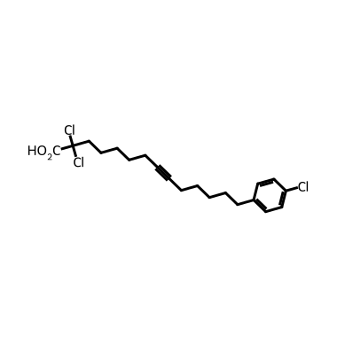 O=C(O)C(Cl)(Cl)CCCCCC#CCCCCCc1ccc(Cl)cc1